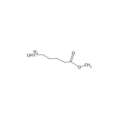 CCCCCC(=O)OC.[LiH]